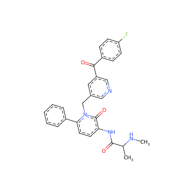 CNC(C)C(=O)Nc1ccc(-c2ccccc2)n(Cc2cncc(C(=O)c3ccc(F)cc3)c2)c1=O